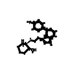 O[C@H]1CCCN[C@@H]1CCCn1cnc2cccc(-c3ccc(F)cc3)c21